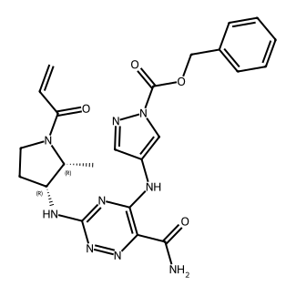 C=CC(=O)N1CC[C@@H](Nc2nnc(C(N)=O)c(Nc3cnn(C(=O)OCc4ccccc4)c3)n2)[C@H]1C